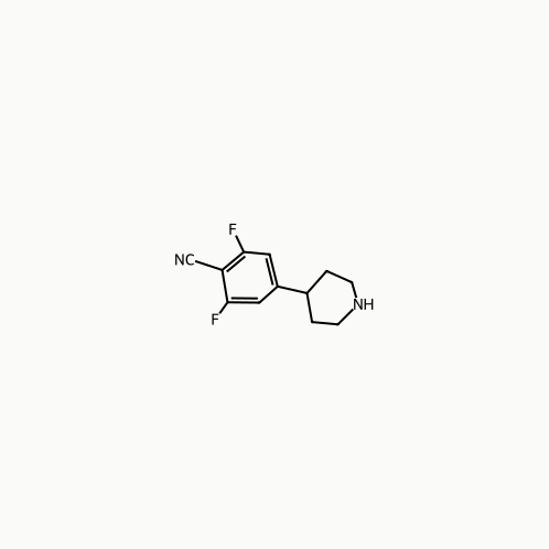 N#Cc1c(F)cc(C2CCNCC2)cc1F